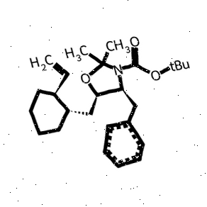 C=C[C@@H]1CCCC[C@H]1C[C@H]1OC(C)(C)N(C(=O)OC(C)(C)C)[C@H]1Cc1ccccc1